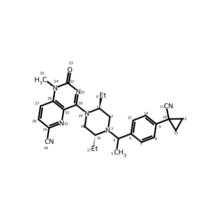 CC[C@H]1CN(C(C)c2ccc(C3(C#N)CC3)cc2)[C@H](CC)CN1c1nc(=O)n(C)c2ccc(C#N)nc12